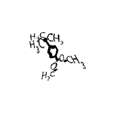 CCOC(OCC)c1ccc(C(C)(C)C)cc1